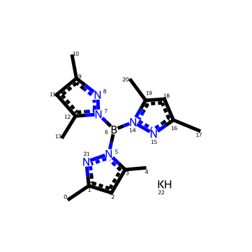 Cc1cc(C)n(B(n2nc(C)cc2C)n2nc(C)cc2C)n1.[KH]